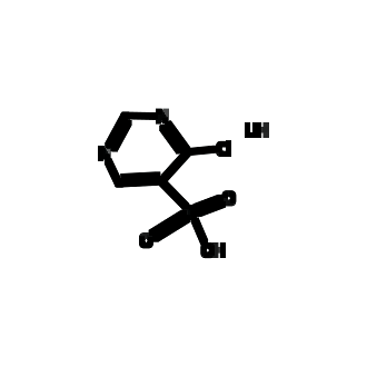 O=S(=O)(O)c1cncnc1Cl.[LiH]